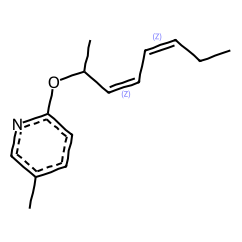 CC/C=C\C=C/C(C)Oc1ccc(C)cn1